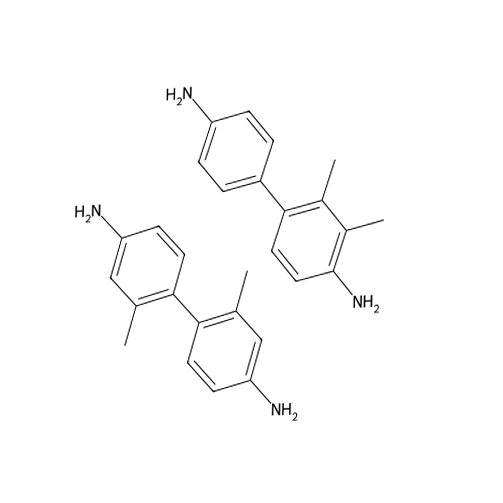 Cc1c(N)ccc(-c2ccc(N)cc2)c1C.Cc1cc(N)ccc1-c1ccc(N)cc1C